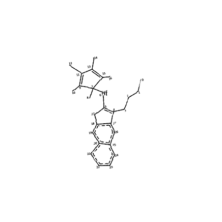 CCCCC1=[C]([Hf][C]2(C)C(C)=C(C)C(C)=C2C)Cc2cc3ccccc3cc21